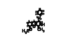 COc1cccc(CN2C(=O)[C@H](C)NC[C@@H]2CCc2ccccc2)c1